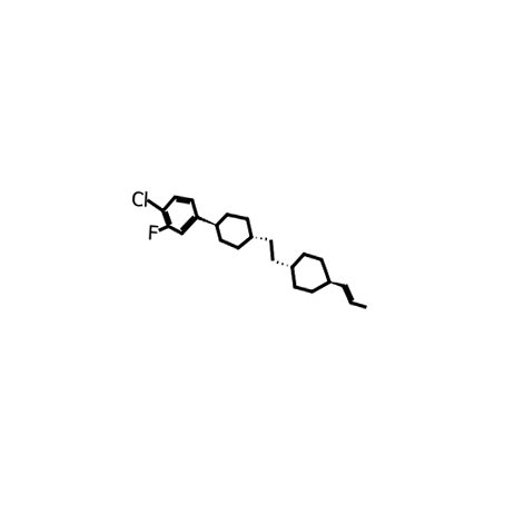 CC=C[C@H]1CC[C@H](CC[C@H]2CC[C@H](c3ccc(Cl)c(F)c3)CC2)CC1